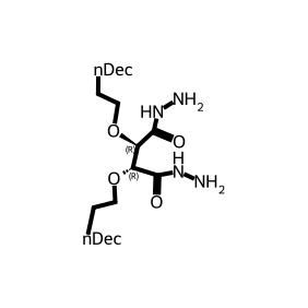 CCCCCCCCCCCCO[C@@H](C(=O)NN)[C@@H](OCCCCCCCCCCCC)C(=O)NN